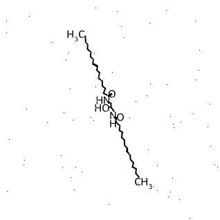 CCCCCCCCC=CCCCCCCCC(=O)NCC(O)CNC(=O)CCCCCCCC=CCCCCCCCC